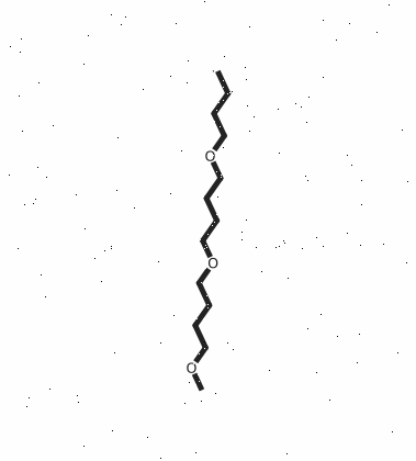 [CH2]CCCOCCCCOCCCCOC